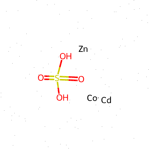 O=S(=O)(O)O.[Cd].[Co].[Zn]